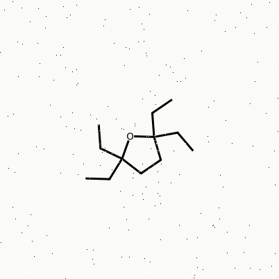 CCC1(CC)CCC(CC)(CC)O1